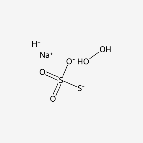 O=S(=O)([O-])[S-].OO.[H+].[Na+]